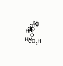 Cc1nc(-c2cccc(S(=O)(=O)NC[C@H]3CC[C@H](CNC(=O)O)CC3)c2)no1